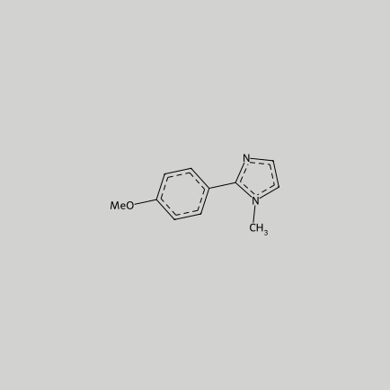 COc1ccc(-c2nccn2C)cc1